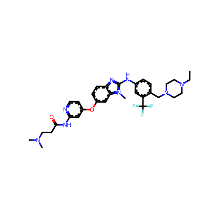 CCN1CCN(Cc2ccc(Nc3nc4ccc(Oc5ccnc(NC(=O)CCN(C)C)c5)cc4n3C)cc2C(F)(F)F)CC1